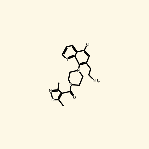 Cc1noc(C)c1C(=O)N1CCN(c2c(CCN)cc(Cl)c3cccnc23)CC1